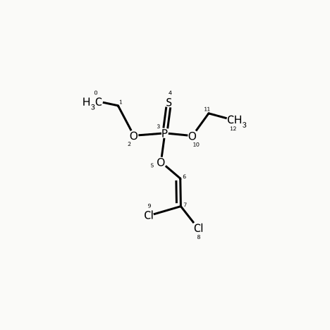 CCOP(=S)(OC=C(Cl)Cl)OCC